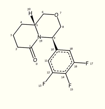 O=C1CCC[C@@H]2COC[C@@H](c3cc(F)c(F)c(F)c3)N12